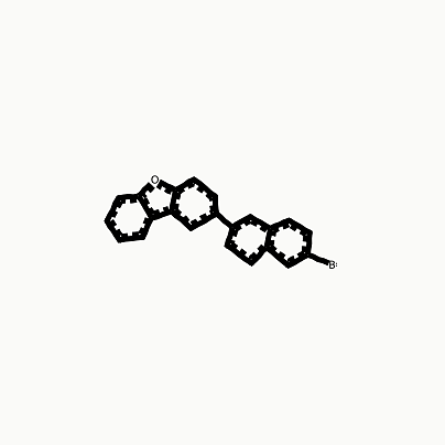 [B]c1ccc2cc(-c3ccc4oc5ccccc5c4c3)ccc2c1